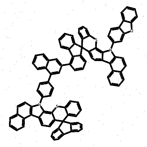 c1ccc2c(c1)Sc1c(ccc3c4c5ccccc5ccc4n(-c4ccc(-c5cc(-c6cccc7c6-c6ccccc6C76c7ccccc7Sc7c6ccc6c8c9ccccc9ccc8n(-c8ccc9c(c8)oc8ccccc89)c76)cc6ccccc56)cc4)c13)C21c2ccccc2-c2ccccc21